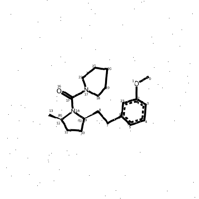 COc1cccc(CC[C@H]2CC[C@@H](C)N2C(=O)N2CCCCC2)c1